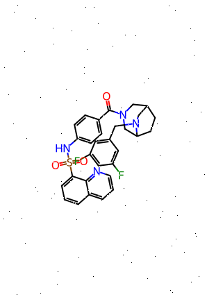 O=C(c1ccc(NS(=O)(=O)c2cccc3cccnc23)cc1)N1CC2CCC(C1)N(Cc1cc(F)cc(F)c1)C2